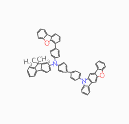 CC1(C)c2ccccc2-c2ccc(N(c3ccc(-c4ccc(-n5c6ccccc6c6cc7oc8ccccc8c7cc65)cc4)cc3)c3ccc(-c4cccc5c4oc4ccccc45)cc3)cc21